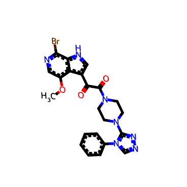 COc1cnc(Br)c2[nH]cc(C(=O)C(=O)N3CCN(c4nncn4-c4ccccc4)CC3)c12